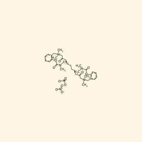 CN(C)C(=O)Oc1ccccc1C[N+](C)(C)CC(=O)CCCCCCC(=O)C[N+](C)(C)Cc1ccccc1OC(=O)N(C)C.O=[N+]([O-])[O-].O=[N+]([O-])[O-]